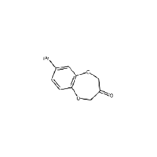 CC(C)c1ccc2c(c1)OCC(=O)CO2